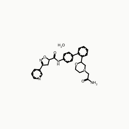 NC(=O)CN1CCOC(c2ccccc2-c2ccc(NC(=O)C3CC(c4cccnc4)=NO3)cc2)C1.O